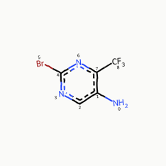 Nc1cnc(Br)nc1C(F)(F)F